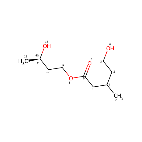 CC(CCO)CC(=O)OCC[C@@H](C)O